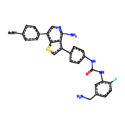 CC(=O)Nc1ccc(-c2cnc(N)c3c(-c4ccc(NC(=O)Nc5cc(CN)ccc5F)cc4)csc23)cc1